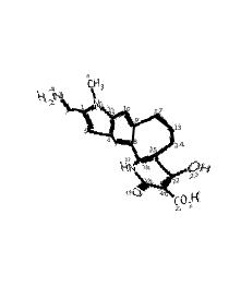 Cn1c(CN)cc2cc3c(cc21)CCCc1c-3[nH]c(=O)c(C(=O)O)c1O